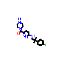 CC(C)(CNc1ccc(C(=O)N2CCNCC2)nn1)c1ccc(F)cc1